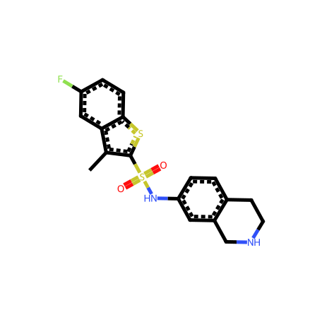 Cc1c(S(=O)(=O)Nc2ccc3c(c2)CNCC3)sc2ccc(F)cc12